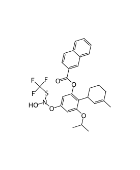 CC1=CC(c2c(OC(=O)c3ccc4ccccc4c3)cc(ON(O)SC(F)(F)F)cc2OC(C)C)CCC1